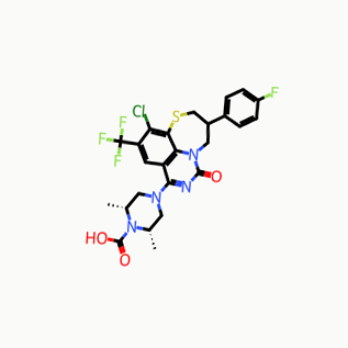 C[C@@H]1CN(c2nc(=O)n3c4c(c(Cl)c(C(F)(F)F)cc24)SCC(c2ccc(F)cc2)C3)C[C@H](C)N1C(=O)O